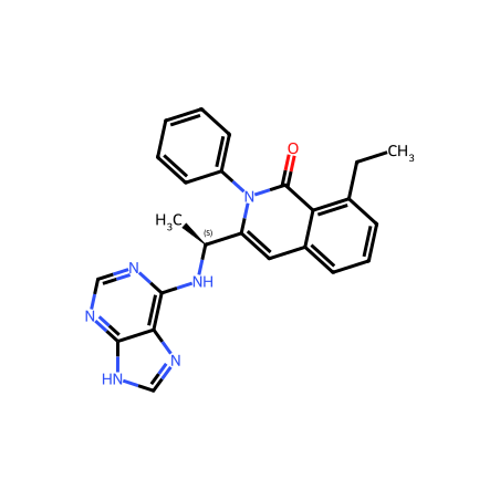 CCc1cccc2cc([C@H](C)Nc3ncnc4[nH]cnc34)n(-c3ccccc3)c(=O)c12